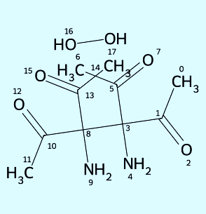 CC(=O)C(N)(C(C)=O)C(N)(C(C)=O)C(C)=O.OO